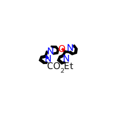 CCOC(=O)c1cccc(CN2CCC(OC(c3ccccn3)c3ccccn3)CC2)n1